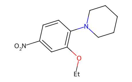 CCOc1cc([N+](=O)[O-])ccc1N1CCCCC1